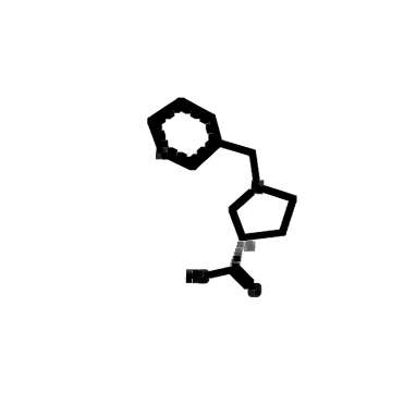 O=C(O)[C@H]1CCN(Cc2cccnc2)C1